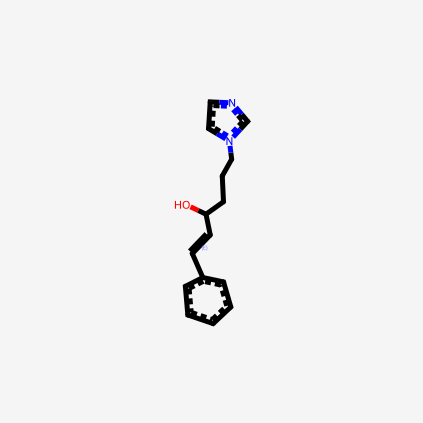 OC(/C=C/c1ccccc1)CCCn1ccnc1